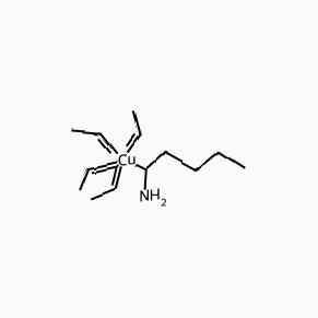 C[CH]=[Cu](=[CH]C)(=[CH]C)(=[CH]C)[CH](N)CCCC